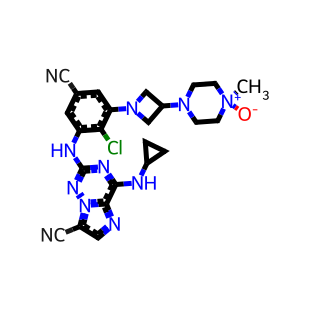 C[N+]1([O-])CCN(C2CN(c3cc(C#N)cc(Nc4nc(NC5CC5)c5ncc(C#N)n5n4)c3Cl)C2)CC1